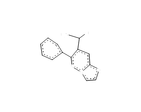 CC(N)c1cc2nccn2nc1-c1ccccc1